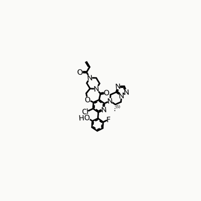 C=CC(=O)N1CCN2C(=O)c3c(N4Cc5ncnn5C[C@@H]4C)nc(-c4c(O)cccc4F)c(Cl)c3OCC2C1